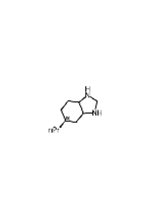 CCC[C@H]1CCC2NCNC2C1